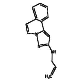 C=CCNc1cc2c3ccccc3ccn2n1